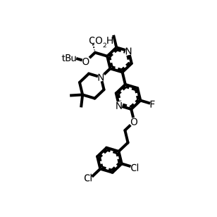 Cc1ncc(-c2cnc(OCCc3ccc(Cl)cc3Cl)c(F)c2)c(N2CCC(C)(C)CC2)c1[C@H](OC(C)(C)C)C(=O)O